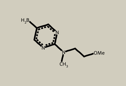 Bc1cnc(N(C)CCOC)nc1